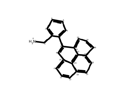 NCc1ccccc1-c1cc2cccc3ccc4cccc1c4c32